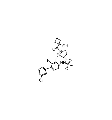 CS(=O)(=O)N[C@H]1CCN(C(=O)C2(O)CCC2)[C@H]1Cc1cccc(-c2cccc(Cl)c2)c1F